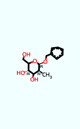 C[C@H]1C(O)[C@H](O)C(CO)O[C@H]1OCc1ccccc1